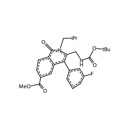 COC(=O)c1ccc2c(=O)n(CC(C)C)c(CNC(=O)OC(C)(C)C)c(-c3cccc(F)c3)c2c1